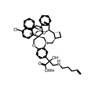 C=CCCCNCC(O)(C(=O)OC)c1ccc2c(c1)N(C[C@@H]1CC[C@H]1[C@H](C=C)O[Si](c1ccccc1)(c1ccccc1)C(C)(C)C)C[C@@]1(CCCc3cc(Cl)ccc31)CO2